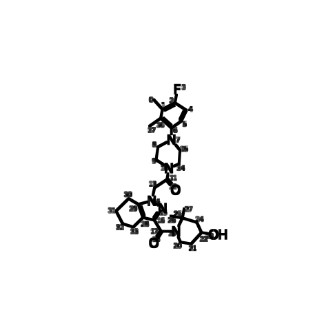 Cc1c(F)ccc(N2CCN(C(=O)Cn3nc(C(=O)N4CCC(O)CC4(C)C)c4c3CCCC4)CC2)c1C